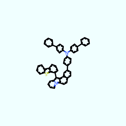 c1ccc(-c2ccc(N(c3ccc(-c4ccccc4)cc3)c3ccc(-c4ccc5ccc6c(c(-c7cccc8c7sc7ccccc78)c7ccccn76)c5c4)cc3)cc2)cc1